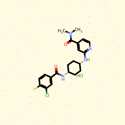 CN(C)C(=O)c1ccnc(N[C@H]2CC[C@@H](NC(=O)c3ccc(F)c(Cl)c3)CC2)c1.Cl